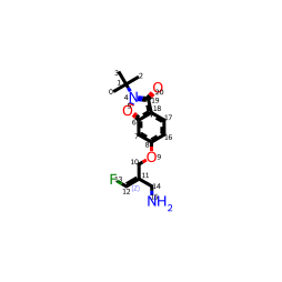 CC(C)(C)n1oc2cc(OC/C(=C\F)CN)ccc2c1=O